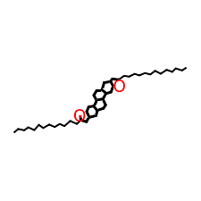 CCCCCCCCCCCCCc1cc2cc3ccc4c5cc6oc(CCCCCCCCCCCCC)cc6cc5ccc4c3cc2o1